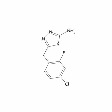 Nc1nnc(Cc2ccc(Cl)cc2F)s1